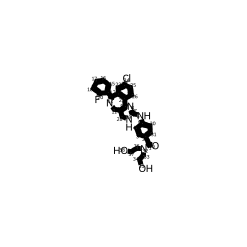 O=C(c1ccc(NC2=NC3=C(CN=C(c4ccccc4F)c4cc(Cl)ccc43)CN2)cc1)N(CCO)CCO